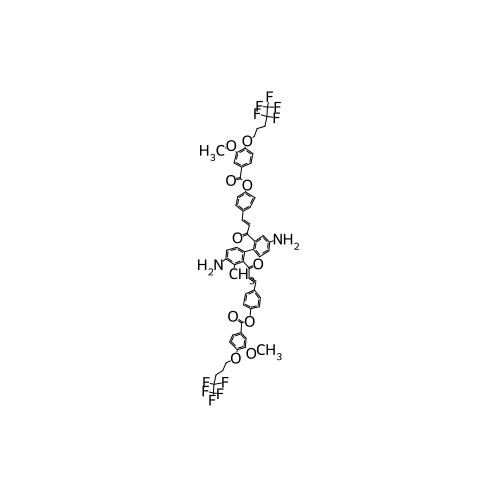 COc1cc(C(=O)Oc2ccc(C=CC(=O)c3cc(N)ccc3-c3ccc(N)c(C)c3C(=O)C=Cc3ccc(OC(=O)c4ccc(OCCCC(F)(F)C(F)(F)F)c(OC)c4)cc3)cc2)ccc1OCCCC(F)(F)C(F)(F)F